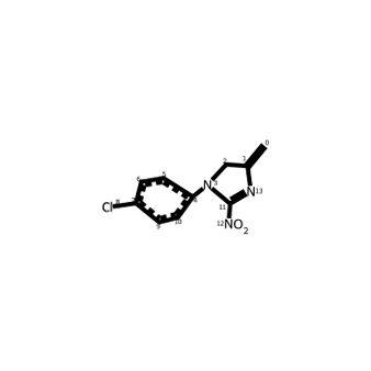 C=C1CN(c2ccc(Cl)cc2)C([N+](=O)[O-])=N1